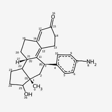 C[C@]12C[C@H](c3ccc(N)cc3)C3=C4CCC(=O)C=C4CC[C@H]3C1CCC2O